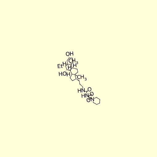 CC[C@H]1[C@@H](O)[C@@H]2[C@H](CC[C@]3(C)[C@@H](CCCNC(=O)NS(=O)(=O)N4CCCCC4)CC[C@@H]23)[C@@]2(C)CC[C@@H](O)C[C@@H]12